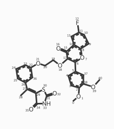 COc1ccc(-c2oc3ccc(F)cc3c(=O)c2OCCOc2cccc(C(C)=C3SC(=O)NC3=O)c2)cc1OC